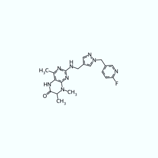 Cc1nc(NCc2cnn(Cc3ccc(F)nc3)c2)nc2c1NC(=O)C(C)N2C